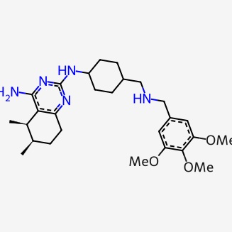 COc1cc(CNCC2CCC(Nc3nc(N)c4c(n3)CC[C@@H](C)[C@H]4C)CC2)cc(OC)c1OC